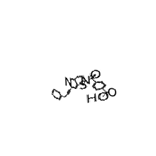 O=C(O)c1ccc(C(=O)N2C=Cc3cnc(C#CCc4ccccc4)cc3S2)cc1